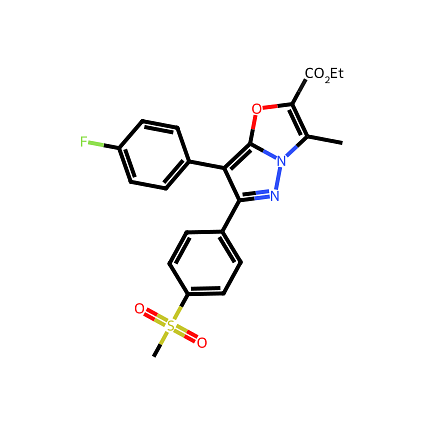 CCOC(=O)c1oc2c(-c3ccc(F)cc3)c(-c3ccc(S(C)(=O)=O)cc3)nn2c1C